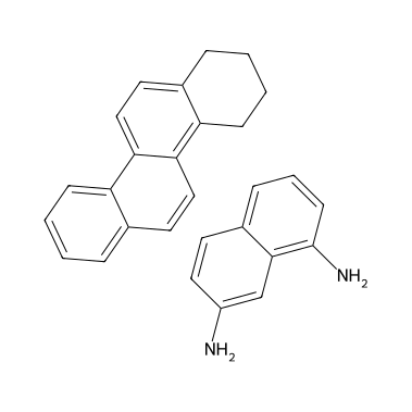 Nc1ccc2cccc(N)c2c1.c1ccc2c(c1)ccc1c3c(ccc12)CCCC3